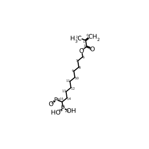 C=C(C)C(=O)OCCCCCCCCCC(P=O)P(O)O